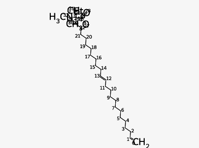 C=CCCCCCCCCCCC=CCCCCCCCCCCC(CC)(P(=O)=O)[N+](C)(C)C